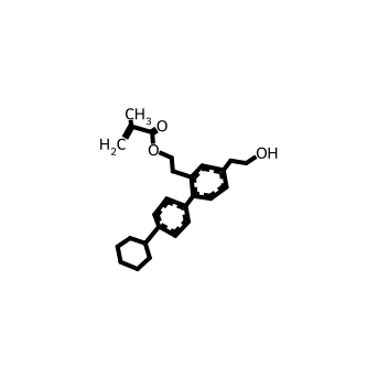 C=C(C)C(=O)OCCc1cc(CCO)ccc1-c1ccc(C2CCCCC2)cc1